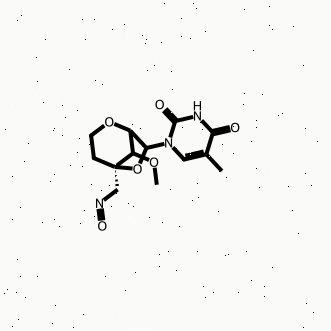 COC1C2OCC[C@]1(CN=O)OC2n1cc(C)c(=O)[nH]c1=O